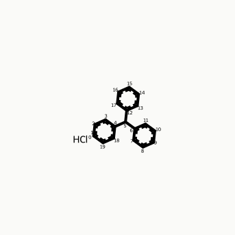 Cl.c1ccc(C(c2ccccc2)c2ccccc2)cc1